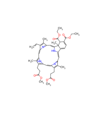 C=CC1=C(C)c2cc3[nH]c(cc4nc(cc5[nH]c(cc1n2)c(C)c5CCC(=O)OC)C(CCC(=O)OC)=C4C)C1=CC=C(C(=O)OCC)C(C(=O)OCC)C13C